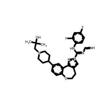 CC(C)(O)CN1CCC(c2ccc3c(c2)-c2nn(/C(=N/C=N)Nc4ccc(F)cc4F)cc2CCO3)CC1